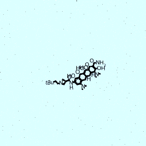 CN(C)c1cc(NC(=O)C2CN(CCC(C)(C)C)C2)c(O)c2c1C[C@H]1C[C@H]3[C@H](N(C)C)C(O)=C(C(N)=O)C(=O)[C@@]3(O)C(O)=C1C2=O